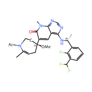 CO[C@@]1(c2cc3c(N[C@H](C)c4cccc(C(F)F)c4F)ncnc3n(C)c2=O)CC=C(C)N(C(C)=O)CC1